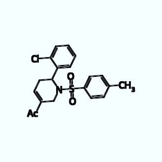 CC(=O)C1=CCC(c2ccccc2Cl)N(S(=O)(=O)c2ccc(C)cc2)C1